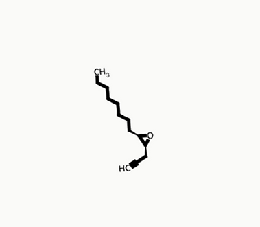 C#CC[C@@H]1O[C@@H]1CCCCCCCC